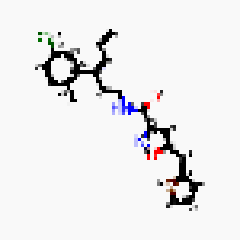 C=C/C=C(/CCNC(=O)c1cc(Cc2cccs2)on1)c1cc(Cl)ccc1C